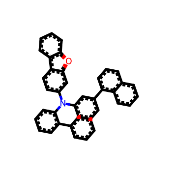 c1ccc(-c2ccccc2N(c2cccc(-c3cccc4ccccc34)c2)c2ccc3c(c2)oc2ccccc23)cc1